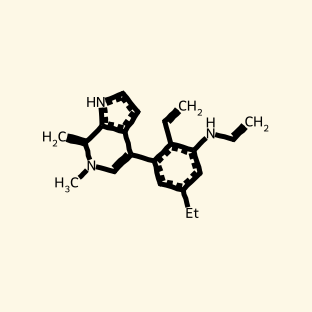 C=CNc1cc(CC)cc(C2=CN(C)C(=C)c3[nH]ccc32)c1C=C